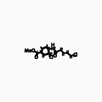 COC(=O)c1ccc(NC(=O)CCCCCl)c(Cl)c1